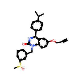 C#CCOc1ccc2c(c1)c(-c1ccc(C(C)C)cc1)nc(=O)n2Cc1cccc([S+](C)[O-])c1